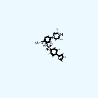 COc1ccc(N2C[C@@H](C)N[C@@H](C)C2)cc1NS(=O)(=O)c1ccc(-c2cccs2)cc1